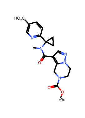 CN(C(=O)c1cnn2c1CN(C(=O)OC(C)(C)C)CC2)C1(c2ccc(C(=O)O)cn2)CC1